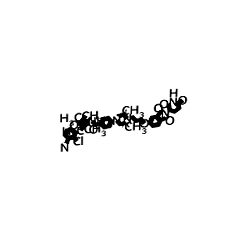 C[C@@H]1CN(c2ccc(C(=O)NC3C(C)(C)C(Oc4ccc(C#N)c(Cl)c4)C3(C)C)cc2)C[C@H](C)N1CCCOc1ccc2c(c1)C(=O)N(C1CCC(=O)NC1=O)C2=O